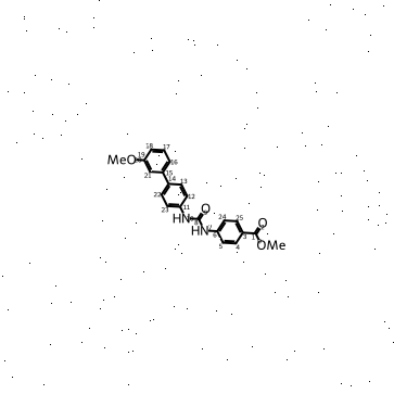 COC(=O)c1ccc(NC(=O)Nc2ccc(-c3cccc(OC)c3)cc2)cc1